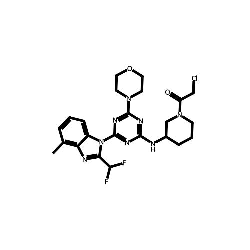 Cc1cccc2c1nc(C(F)F)n2-c1nc(NC2CCCN(C(=O)CCl)C2)nc(N2CCOCC2)n1